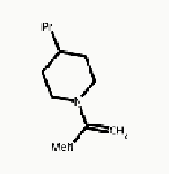 C=C(NC)N1CCC(C(C)C)CC1